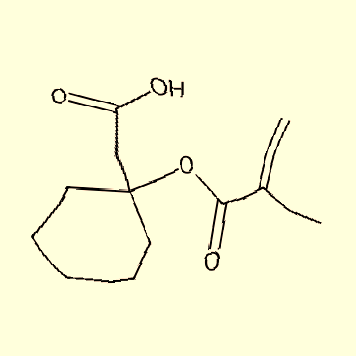 C=C(C)C(=O)OC1(C(=O)O)CCCCC1